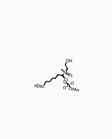 CCCCCCCCCCCCCCCC(=O)[N+](C)(CC)CCO.COS(=O)(=O)[O-]